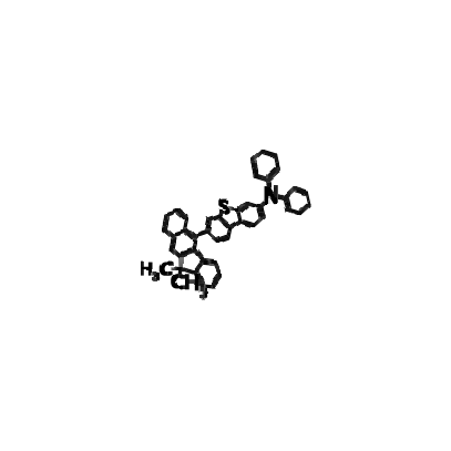 CC1(C)c2ccccc2-c2c1cc1ccccc1c2-c1ccc2c(c1)sc1cc(N(c3ccccc3)c3ccccc3)ccc12